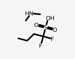 CCCC(F)(F)S(=O)(=O)O.CNC